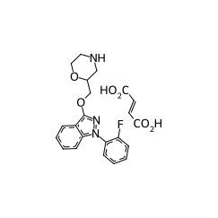 Fc1ccccc1-n1nc(OCC2CNCCO2)c2ccccc21.O=C(O)C=CC(=O)O